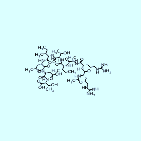 CC[C@H](C)[C@H](NC(=O)[C@H](C)NC(=O)[C@H](CCCNC(=N)N)NC(=O)[C@H](CCCNC(=N)N)NC(C)=O)C(=O)N[C@H](C(=O)N[C@H](C(=O)N[C@@H](CC(C)C)C(=O)N[C@@H](CC(=O)O)C(=O)N[C@H](C(=O)O)[C@@H](C)O)[C@@H](C)CC)[C@@H](C)O